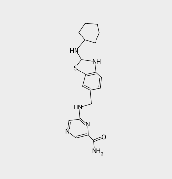 NC(=O)c1cncc(NCc2ccc3c(c2)SC(NC2CCCCC2)N3)n1